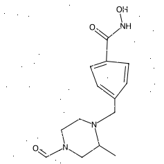 CC1CN(C=O)CCN1Cc1ccc(C(=O)NO)cc1